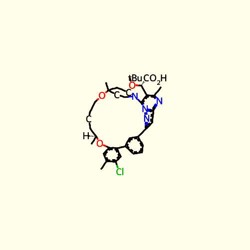 Cc1cc2c(cc1Cl)-c1cccc(c1)-c1cc3nc(C)c([C@H](OC(C)(C)C)C(=O)O)c(n3n1)N1CCC(C)(CC1)OCCCC[C@H](C)O2